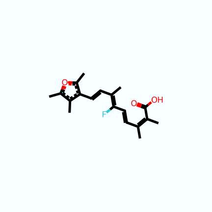 CC(C=Cc1c(C)oc(C)c1C)=C(F)C=CC(C)=C(C)C(=O)O